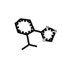 CC(C)c1ccccc1-c1nnco1